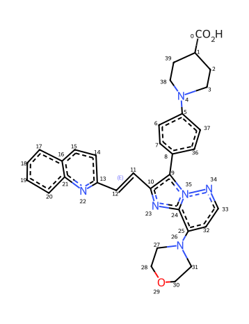 O=C(O)C1CCN(c2ccc(-c3c(/C=C/c4ccc5ccccc5n4)nc4c(N5CCOCC5)ccnn34)cc2)CC1